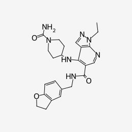 CCn1ncc2c(NC3CCN(C(N)=O)CC3)c(C(=O)NCc3ccc4c(c3)CCO4)cnc21